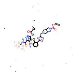 BC(B)(B)NC(=O)c1nnc(NC(=O)C2CC2)cc1Nc1cccc(-c2nc(CN3CC4CN(C(=O)OC(C)(C)C)CC4C3)no2)c1OC